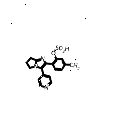 Cc1ccc(-c2nc3n(c2-c2ccncc2)CCC3)c(OS(=O)(=O)O)c1